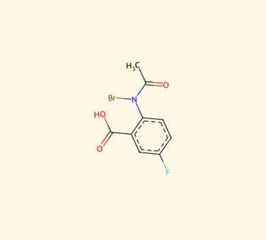 CC(=O)N(Br)c1ccc(F)cc1C(=O)O